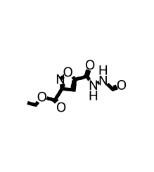 CCOC(=O)c1cc(C(=O)NNC=O)on1